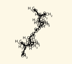 C=CC(=O)OCCCOCC(COC(=O)NC1(C)CC(NC(=O)OC(C)(C)CCOC(=O)OCCOC(=O)OCOC(=O)NC2CC(C)(C)CC(C)(NC(=O)C(C)(C)OCC(COCCCOC(=O)C=C)C(C)(C)COC(=O)C=C)C2)CC(C)(C)C1)C(C)(C)COC(=O)C=C